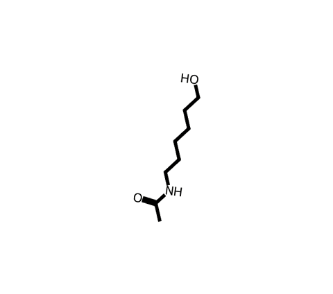 CC(=O)NCCCCCCO